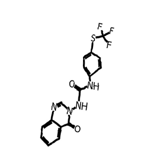 O=C(Nc1ccc(SC(F)(F)F)cc1)Nn1cnc2ccccc2c1=O